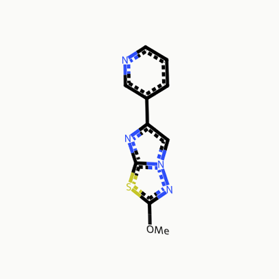 COc1nn2cc(-c3cccnc3)nc2s1